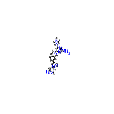 CN1CCN(c2cc(N3CCc4ccc(-c5cnn(C6CCNCC6)c5)cc4C3)nc(N)n2)CC1